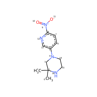 CC1(C)CN(c2ccc([N+](=O)[O-])nc2)CCN1